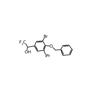 CC(C)c1cc(C(O)C(F)(F)F)cc(Br)c1OCc1ccccc1